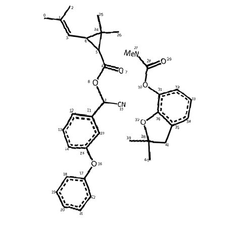 CC(C)=CC1C(C(=O)OC(C#N)c2cccc(Oc3ccccc3)c2)C1(C)C.CNC(=O)Oc1cccc2c1OC(C)(C)C2